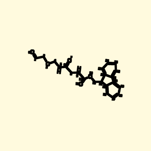 O=CCOCNC(=O)CNC(=O)OCC1c2ccccc2-c2ccccc21